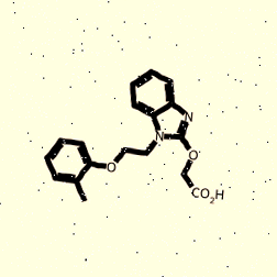 Cc1ccccc1OCCn1c(OCC(=O)O)nc2ccccc21